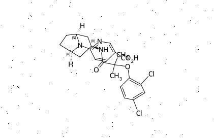 CC(C)(Oc1ccc(Cl)cc1Cl)C(=O)N[C@H]1C[C@H]2CC[C@@H](C1)N2c1ccc(C(=O)O)cn1